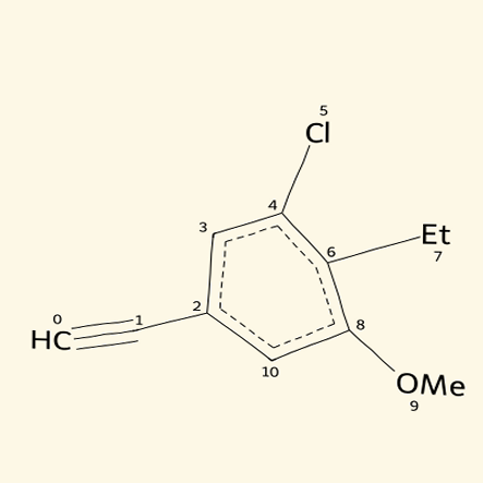 C#Cc1cc(Cl)c(CC)c(OC)c1